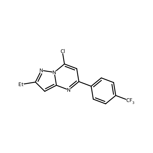 CCc1cc2nc(-c3ccc(C(F)(F)F)cc3)cc(Cl)n2n1